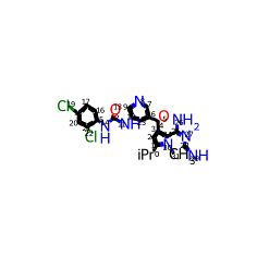 CC(C)c1cc(C(=O)c2cncc(NC(=O)Nc3ccc(Cl)cc3Cl)c2)c(/C(N)=N\C=N)n1C